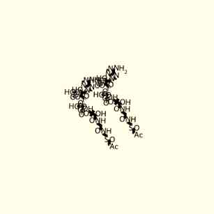 CC(=O)CC(=O)SCCNC(=O)CCNC(=O)[C@H](O)C(C)(C)COP(=O)(O)OP(=O)(O)OC[C@H]1O[C@@H](n2cnc3c(N)ncnc32)[C@H](O)[C@@H]1OP(=O)(O)O.CC(=O)CC(=O)SCCNC(=O)CCNC(=O)[C@H](O)C(C)(C)COP(=O)(O)OP(=O)(O)OC[C@H]1O[C@@H](n2cnc3c(N)ncnc32)[C@H](O)[C@@H]1OP(=O)(O)O